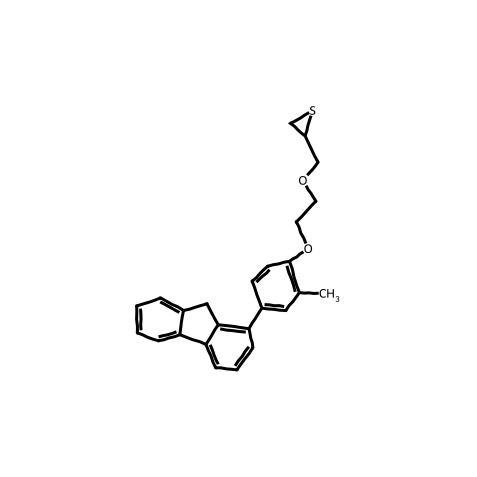 Cc1cc(-c2cccc3c2Cc2ccccc2-3)ccc1OCCOCC1CS1